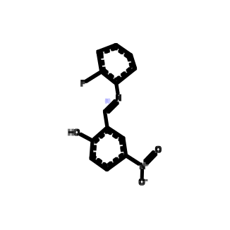 O=[N+]([O-])c1ccc(O)c(/C=N/c2ccccc2F)c1